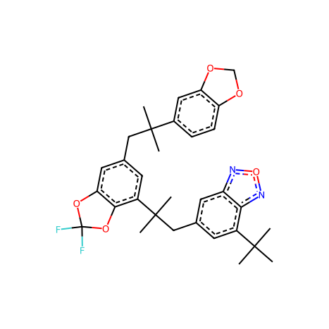 CC(C)(C)c1cc(CC(C)(C)c2cc(CC(C)(C)c3ccc4c(c3)OCO4)cc3c2OC(F)(F)O3)cc2nonc12